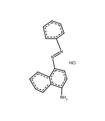 Cl.Nc1ccc(N=Nc2ccccc2)c2ccccc12